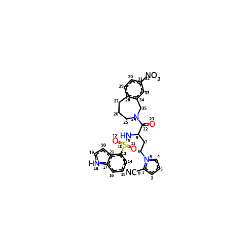 N#Cc1cccn1CCC(NS(=O)(=O)c1cccc2[nH]ccc12)C(=O)N1CCCc2ccc([N+](=O)[O-])cc2C1